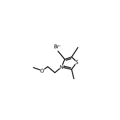 COCC[n+]1c(C)sc(C)c1C.[Br-]